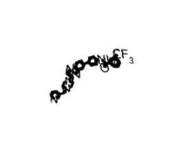 O=C(Nc1ccc(-c2ccc3ncc(N4CCN(Cc5cccnc5)CC4)nc3c2)cc1)c1cccc(C(F)(F)F)c1